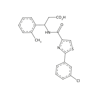 Cc1ccccc1C(CC(=O)O)NC(=O)c1csc(-c2cccc(Cl)c2)n1